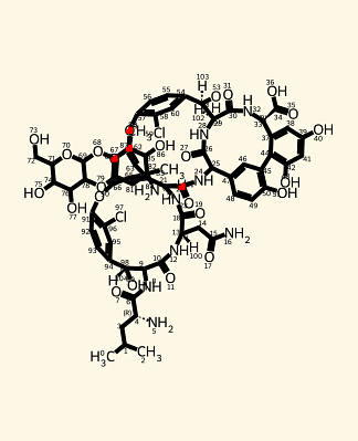 CC(C)C[C@@H](N)C(=O)NC1C(=O)N[C@@H](CC(N)=O)C(=O)N[C@H]2C(=O)NC3C(=O)N[C@H](C(=O)N[C@@H](C(=O)O)c4cc(O)cc(O)c4-c4cc3ccc4O)[C@H](O)c3ccc(c(Cl)c3)Oc3cc2cc(c3OC2OC(CO)C(O)C(O)C2OC2CC(C)(N)C(O)C(C)O2)Oc2ccc(cc2Cl)[C@H]1O